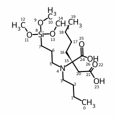 CCCCN(CCC[Si](OC)(OC)OC)[C@@](CCCC)(CC(=O)O)C(=O)O